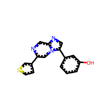 Oc1cccc(-c2cnc3cnc(-c4ccsc4)cn23)c1